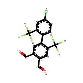 O=[C]c1cc(-c2ccc(Cl)cc2C(F)(F)F)c(C(F)(F)F)cc1[C]=O